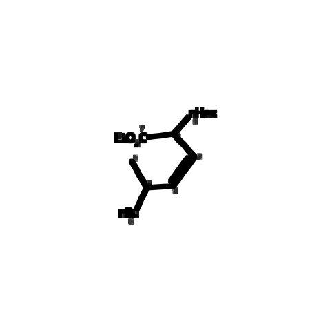 CCCCCCC(/C=C\C(C)CCCC)C(=O)OCC